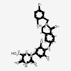 Cc1ccc(F)cc1CN1CCc2cc(Oc3c(Cl)cc(-n4nc(C(=O)O)c(=O)[nH]c4=O)cc3Cl)ccc2C1=O